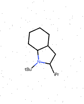 CC(C)C1CC2CCCCC2N1C(C)(C)C